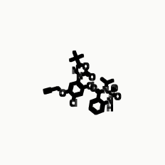 C#CCOc1cc(-n2nc(C(C)(C)C)oc2=O)c(Cl)cc1Cl.CC(C)N1C(=O)c2ccccc2NS1(=O)=O